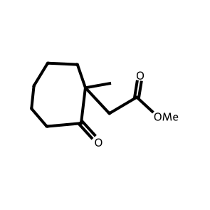 COC(=O)CC1(C)CCCCCC1=O